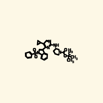 CC(C)(C)OC(=O)N1CCC[C@H](Nc2ncc(C3CC3)c(-c3cn(S(=O)(=O)c4ccccc4)c4ccccc34)n2)C1